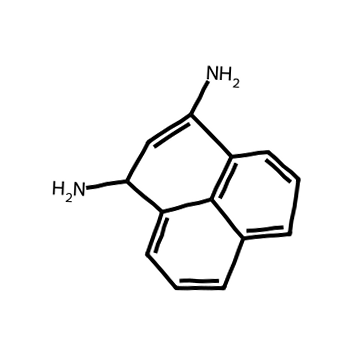 NC1=CC(N)c2cccc3cccc1c23